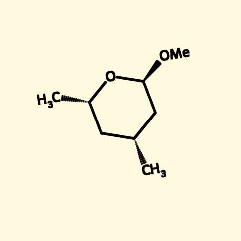 CO[C@H]1C[C@H](C)C[C@H](C)O1